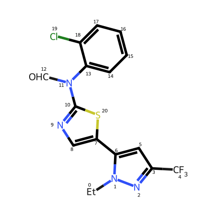 CCn1nc(C(F)(F)F)cc1-c1cnc(N(C=O)c2ccccc2Cl)s1